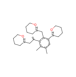 C=C(C[SiH]1CCCCO1)c1c(C)c(C)cc([SiH]2CCCCO2)c1C[SiH]1CCCCO1